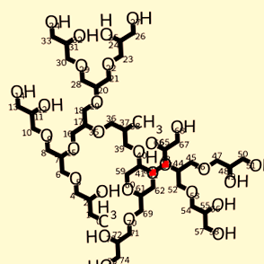 CCC(O)COCC(COCC(O)CO)OCC(COC(COCC(O)CO)COCC(O)CO)OCC(C)COC(COC(COCC(O)CO)COCC(O)CO)COC(COCC(O)CO)COCC(O)CO